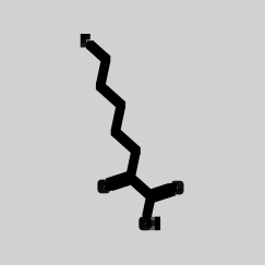 O=C(O)C(=O)CCCCCF